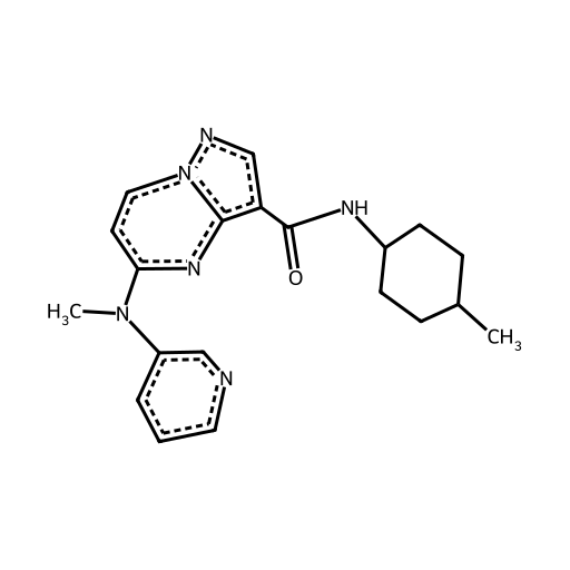 CC1CCC(NC(=O)c2cnn3ccc(N(C)c4cccnc4)nc23)CC1